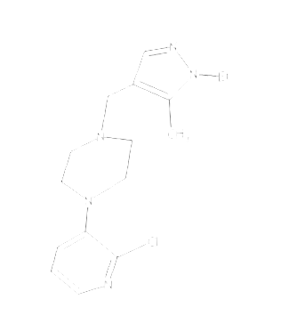 CCn1ncc(CN2CCN(c3cccnc3Cl)CC2)c1C